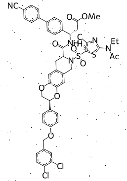 CCN(C(C)=O)c1nc(C)c(S(=O)(=O)N2Cc3cc4c(cc3CC2C(=O)N[C@@H](CC(=O)OC)c2ccc(-c3ccc(C#N)cc3)cc2)OC[C@H](c2ccc(OCc3ccc(Cl)c(Cl)c3)cc2)O4)s1